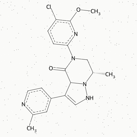 COc1nc(N2C[C@H](C)N3NC=C(c4ccnc(C)c4)C3C2=O)ccc1Cl